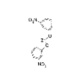 O=[N+]([O-])c1cccc([O][Zr][O]c2cccc([N+](=O)[O-])c2)c1